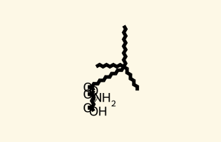 CCCCCCCCCCCCC(CCCCCCCC)(CCCCCCCC)CCCCCCCCCCC(=O)OC(=O)[C@@H](N)CCC(=O)O